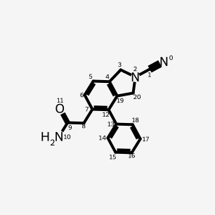 N#CN1Cc2ccc(CC(N)=O)c(-c3ccccc3)c2C1